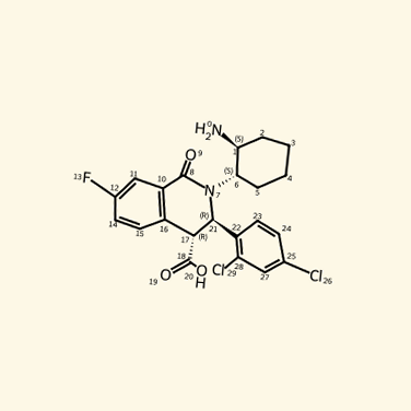 N[C@H]1CCCC[C@@H]1N1C(=O)c2cc(F)ccc2[C@@H](C(=O)O)[C@@H]1c1ccc(Cl)cc1Cl